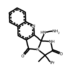 CC(C)C1(C)C(=O)NC2(NN)c3nc4ccccc4cc3C(=O)N21